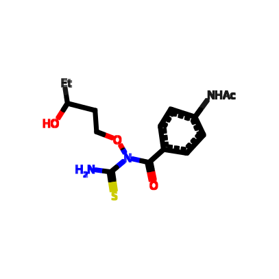 CCC(O)CCON(C(=O)c1ccc(NC(C)=O)cc1)C(N)=S